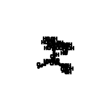 CC(=O)CCCCCNC(=O)CN(CC(=O)NCCO[C@@H]1O[C@@H](C)[C@@H](O)[C@@H](O)[C@@H]1O)CC(=O)NCCO[C@@H]1O[C@H](CO[C@H]2O[C@H](CO)[C@@H](O)[C@H](O)[C@@H]2O)[C@@H](O)[C@H](O[C@H]2O[C@H](CO)[C@@H](O)[C@H](O)[C@@H]2O)[C@H]1O